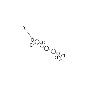 CCCCCCCCOc1ccc(C(=O)Oc2ccc(-c3ccc(OC(=O)C(Cl)C(C)C)cc3)cc2)cc1Cl